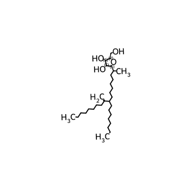 C=C(CCCCCCCC)C(CCCCCCCC)CCCCCCC(C)[C@@H]1O[C@H](CO)[C@@H](O)[C@@H]1O